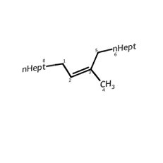 CCCCCCCCC=C(C)CCCCCCCC